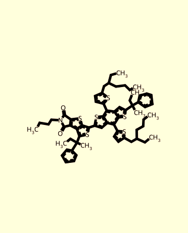 CCCCC(CC)Cc1ccc(-c2c3cc(C(C)(CC)c4ccccc4)sc3c(-c3ccc(CC(CC)CCCC)s3)c3cc(-c4sc(C(C)(CC)c5ccccc5)c5c6c(sc45)C(=O)N(CCCC)C6=O)sc23)s1